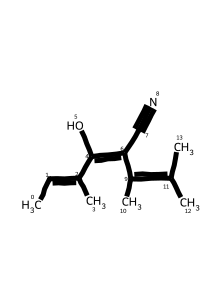 C/C=C(C)/C(O)=C(/C#N)C(C)=C(C)C